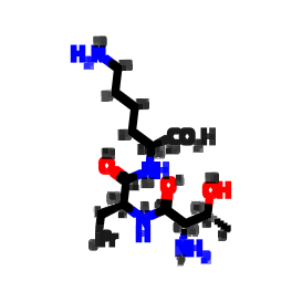 CC(C)C[C@H](NC(=O)[C@@H](N)[C@@H](C)O)C(=O)N[C@@H](CCCCN)C(=O)O